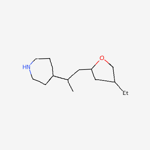 CCC1COC(CC(C)C2CCNCC2)C1